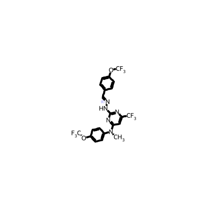 CN(c1ccc(OC(F)(F)F)cc1)c1cc(C(F)(F)F)nc(N/N=C/c2ccc(OC(F)(F)F)cc2)n1